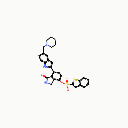 O=C1NCc2c(OS(=O)(=O)c3cc4ccccc4s3)ccc(-c3cc4cc(CN5CCCCC5)ccc4[nH]3)c21